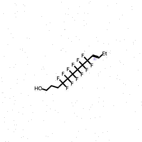 CC/C=C/C(F)(F)C(F)(F)C(F)(F)C(F)(F)C(F)(F)C(F)(F)CCCO